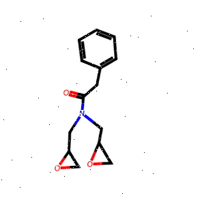 O=C(Cc1ccccc1)N(CC1CO1)CC1CO1